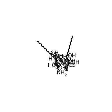 CCCCCCCCCCC[C@@H](O)CC(=O)NC1C(O)[C@H](O)C(CO[C@@H]2O[C@H](COC)[C@@H](OP(=O)(O)O)C(O)C2NC(=O)C[C@H](O)CCCCCCCCCCC)O[C@@H]1OP(=O)(O)OP(=O)(O)CCN